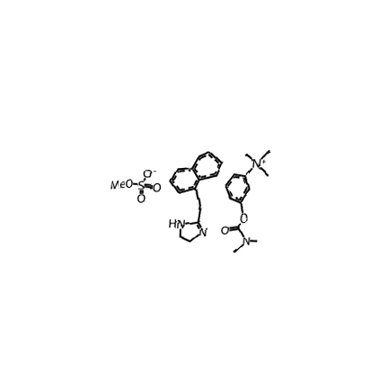 CN(C)C(=O)Oc1cccc([N+](C)(C)C)c1.COS(=O)(=O)[O-].c1ccc2c(CC3=NCCN3)cccc2c1